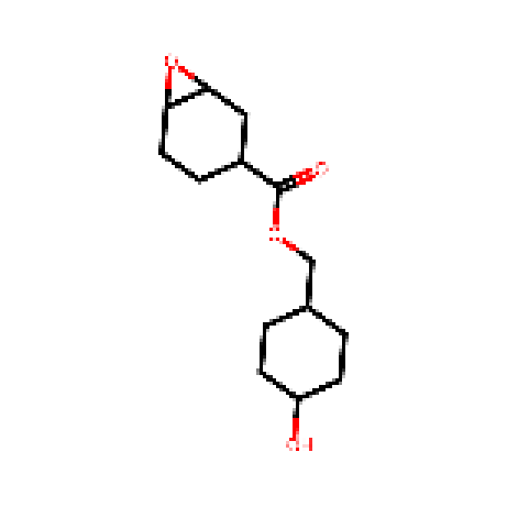 O=C(OCC1CCC(O)CC1)C1CCC2OC2C1